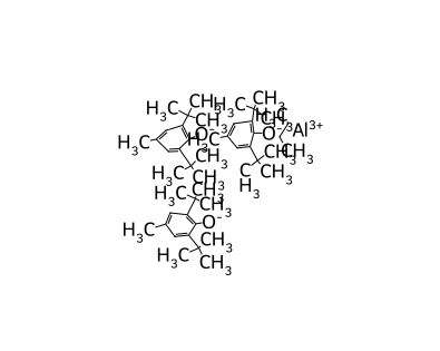 CCCC.Cc1cc(C(C)(C)C)c([O-])c(C(C)(C)C)c1.Cc1cc(C(C)(C)C)c([O-])c(C(C)(C)C)c1.Cc1cc(C(C)(C)C)c([O-])c(C(C)(C)C)c1.[Al+3]